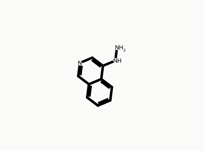 NNc1cncc2ccccc12